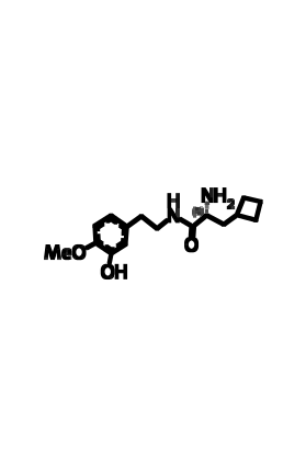 COc1ccc(CCNC(=O)[C@H](N)CC2CCC2)cc1O